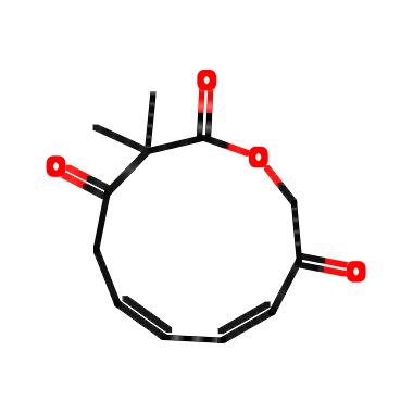 CC1(C)C(=O)CC=CC=CC(=O)COC1=O